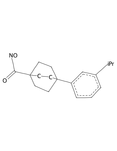 CC(C)c1cccc(C23CCC(C(=O)N=O)(CC2)CC3)c1